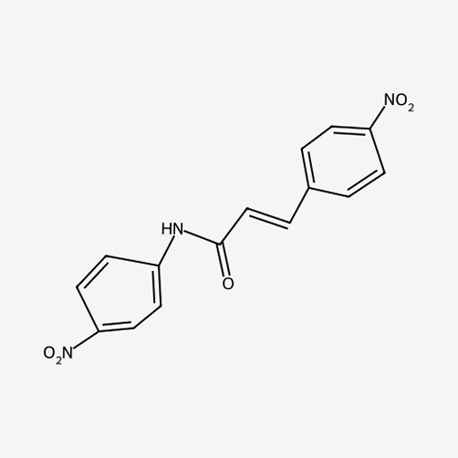 O=C(C=Cc1ccc([N+](=O)[O-])cc1)Nc1ccc([N+](=O)[O-])cc1